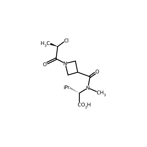 CC(C)[C@@H](C(=O)O)N(C)C(=O)C1CN(C(=O)[C@@H](C)Cl)C1